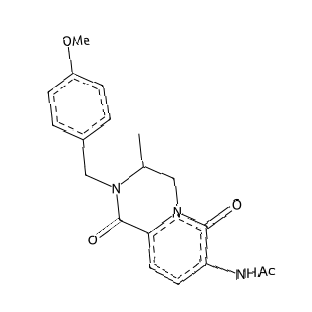 COc1ccc(CN2C(=O)c3ccc(NC(C)=O)c(=O)n3CC2C)cc1